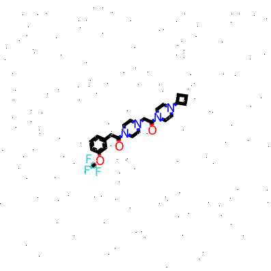 O=C(Cc1cccc(OC(F)(F)F)c1)N1CCN(CC(=O)N2CCN(C3CCC3)CC2)CC1